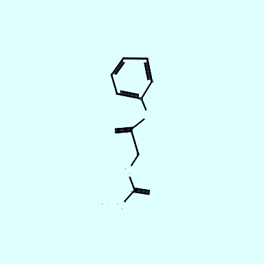 CNC(=O)NCC(=O)Sc1ccccc1